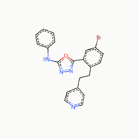 Brc1ccc(CCc2ccncc2)c(-c2nnc(Nc3ccccc3)o2)c1